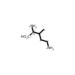 CC(CCN)[C@H](N)C(=O)O